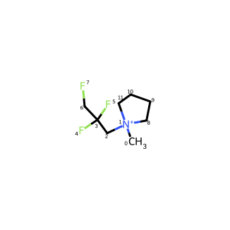 C[N+]1(CC(F)(F)CF)CCCC1